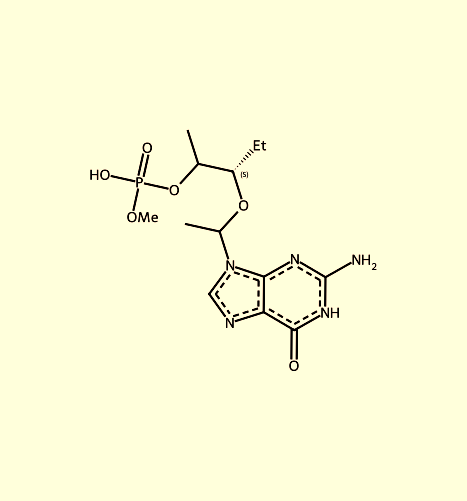 CC[C@H](OC(C)n1cnc2c(=O)[nH]c(N)nc21)C(C)OP(=O)(O)OC